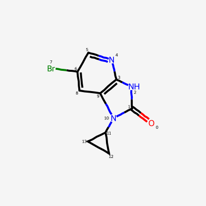 O=c1[nH]c2ncc(Br)cc2n1C1CC1